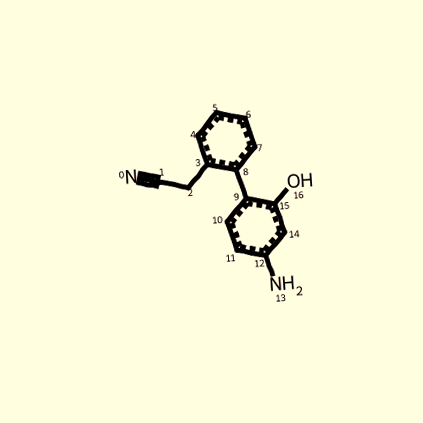 N#CCc1ccccc1-c1ccc(N)cc1O